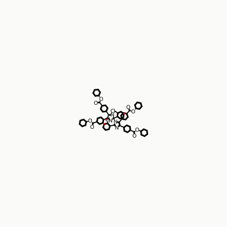 O=C(Oc1ccccc1)c1ccc(C2=NC(c3ccccc3Cl)(n3c(-c4ccccc4Cl)nc(-c4ccc(C(=O)Oc5ccccc5)cc4)c3-c3ccc(C(=O)Oc4ccccc4)cc3)N=C2c2ccc(C(=O)Oc3ccccc3)cc2)cc1